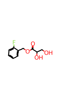 O=C(OCc1ccccc1F)C(O)CO